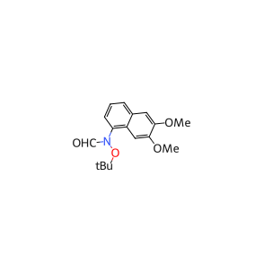 COc1cc2cccc(N(C=O)OC(C)(C)C)c2cc1OC